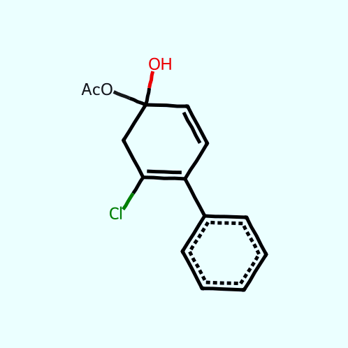 CC(=O)OC1(O)C=CC(c2ccccc2)=C(Cl)C1